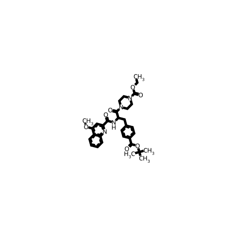 CCOC(=O)N1CCN(C(=O)C(Cc2ccc(C(=O)OC(C)(C)C)cc2)NC(=O)c2cc(OC)c3ccccc3n2)CC1